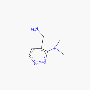 CN(C)c1nnccc1CN